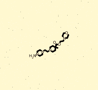 CC1(C(=O)OCCN2CCOCC2)CCN(CCN2CCN(N)CC2)CC1